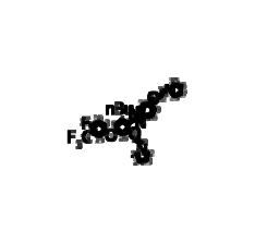 CCCCn1c(-c2ccc(Oc3ccc(F)c(C(F)(F)F)c3)cc2OCCN2CCCC2)nc2ccc(OCCN3CCCC3)cc21